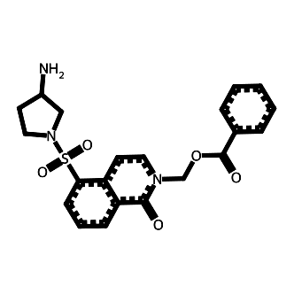 NC1CCN(S(=O)(=O)c2cccc3c(=O)n(COC(=O)c4ccccc4)ccc23)C1